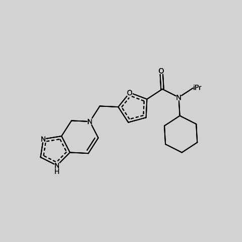 CC(C)N(C(=O)c1ccc(CN2C=Cc3[nH]cnc3C2)o1)C1CCCCC1